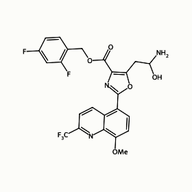 COc1ccc(-c2nc(C(=O)OCc3ccc(F)cc3F)c(CC(N)O)o2)c2ccc(C(F)(F)F)nc12